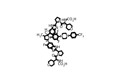 CC1C[C@H](c2cc3[nH]c(C4CCCN4C(=O)C(NC(=O)O)C4CCOCC4)nc3cc2F)N(c2cc(F)c(N3CCN(c4ccc(C(F)(F)F)cc4)CC3)c(F)c2)[C@]1(C)c1cc2[nH]c(C3CCCN3C(=O)[C@@H](NC(=O)O)C3CCOCC3)nc2cc1F